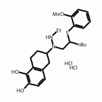 CCCCC(CN(NCC)C1CCc2c(ccc(O)c2O)C1)Sc1ccccc1OC.Cl.Cl